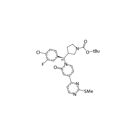 CSc1nccc(-c2ccn([C@@H](c3ccc(Cl)c(F)c3)C3CCN(C(=O)OC(C)(C)C)C3)c(=O)c2)n1